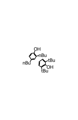 CC(C)(C)c1cccc(C(C)(C)C)c1O.CCCCc1ccc(O)c(CCCC)c1